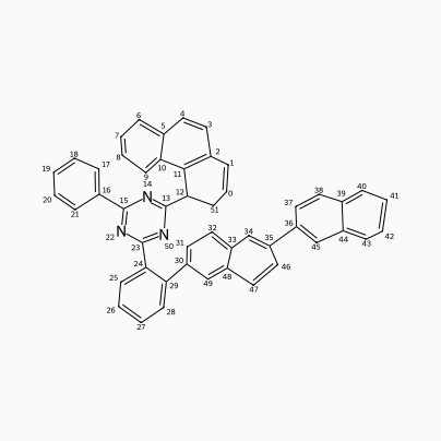 C1=Cc2ccc3ccccc3c2C(c2nc(-c3ccccc3)nc(-c3ccccc3-c3ccc4cc(-c5ccc6ccccc6c5)ccc4c3)n2)C1